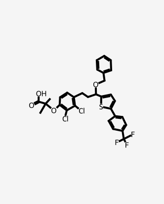 CC(C)(Oc1ccc(CCC(OCc2ccccc2)c2ccc(-c3ccc(C(F)(F)F)cc3)s2)c(Cl)c1Cl)C(=O)O